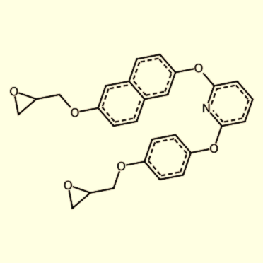 c1cc(Oc2ccc(OCC3CO3)cc2)nc(Oc2ccc3cc(OCC4CO4)ccc3c2)c1